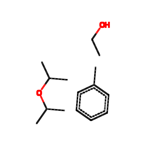 CC(C)OC(C)C.CCO.Cc1ccccc1